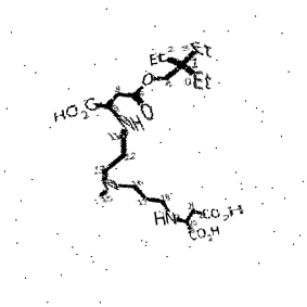 CCC(CC)(CC)COC(=O)CC(NCCCN(C)CCCNC(CC(=O)O)C(=O)O)C(=O)O